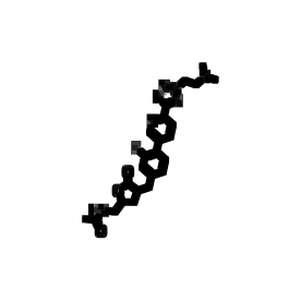 CC(=O)NCC1CC(Cc2ccc(-c3ccc(-c4nnn(CCN(C)C)n4)nc3)c(F)c2)C(=O)O1